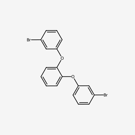 Brc1cccc(Oc2ccccc2Oc2cccc(Br)c2)c1